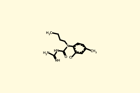 CCCCN(C(=O)NC(=N)N)c1ccc(C)cc1Cl